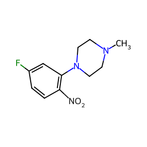 CN1CCN(c2cc(F)ccc2[N+](=O)[O-])CC1